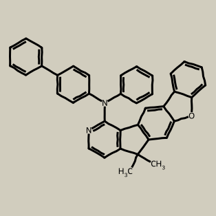 CC1(C)c2cc3oc4ccccc4c3cc2-c2c1ccnc2N(c1ccccc1)c1ccc(-c2ccccc2)cc1